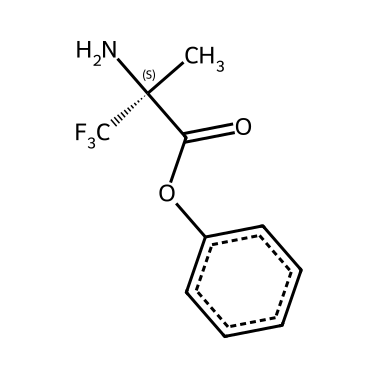 C[C@](N)(C(=O)Oc1ccccc1)C(F)(F)F